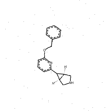 c1ccc(COc2cccc(C3[C@H]4CNC[C@@H]34)n2)cc1